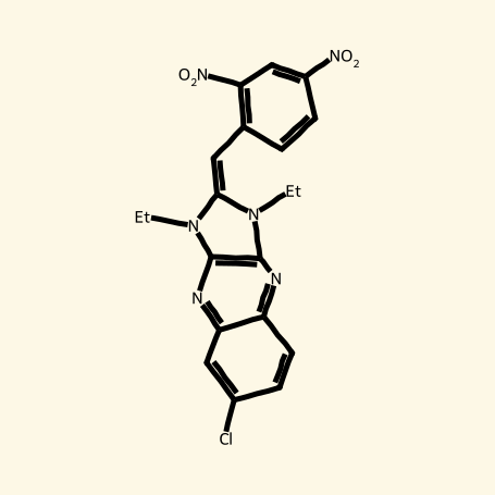 CCN1C(=Cc2ccc([N+](=O)[O-])cc2[N+](=O)[O-])N(CC)c2nc3cc(Cl)ccc3nc21